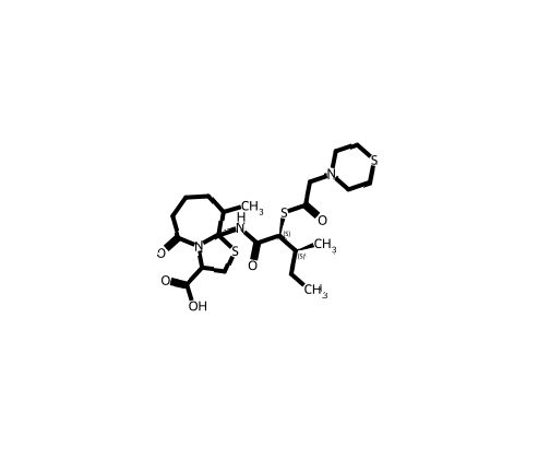 CC[C@H](C)[C@H](SC(=O)CN1CCSCC1)C(=O)NC12SCC(C(=O)O)N1C(=O)CCCC2C